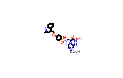 Cc1cc(COc2ccc(S(=O)(=O)NC[C@@H](C(=O)NO)N3CCN(C(=O)O)CC3)cc2)c2ccccc2n1